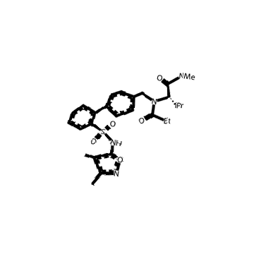 CCC(=O)N(Cc1ccc(-c2ccccc2S(=O)(=O)Nc2onc(C)c2C)cc1)[C@H](C(=O)NC)C(C)C